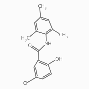 Cc1cc(C)c(NC(=O)c2cc(Cl)ccc2O)c(C)c1